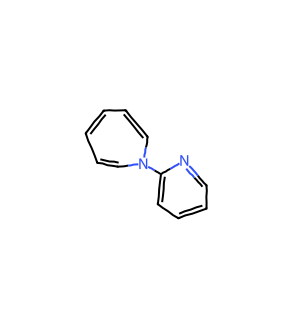 C1=CC=CN(c2ccccn2)C=C1